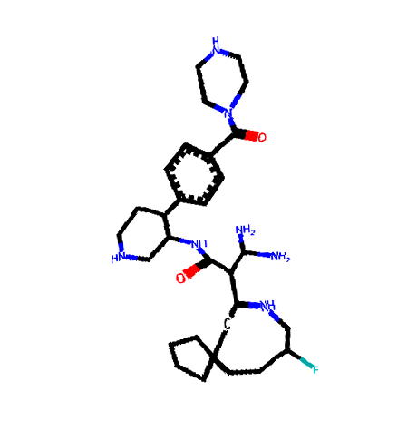 NC(N)C(C(=O)NC1CNCCC1c1ccc(C(=O)N2CCNCC2)cc1)C1CC2(CCCC2)CCC(F)CN1